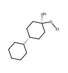 CCC[C@]1(OCC)CC[C@H](C2CCCCC2)CC1